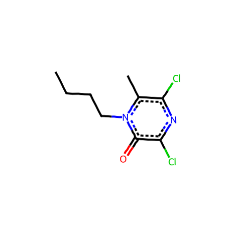 CCCCn1c(C)c(Cl)nc(Cl)c1=O